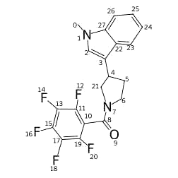 Cn1cc(C2CCN(C(=O)c3c(F)c(F)c(F)c(F)c3F)C2)c2ccccc21